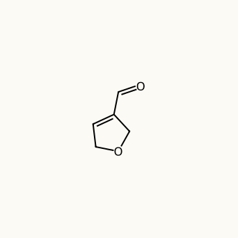 O=CC1=CCOC1